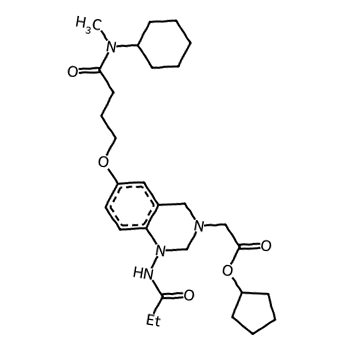 CCC(=O)NN1CN(CC(=O)OC2CCCC2)Cc2cc(OCCCC(=O)N(C)C3CCCCC3)ccc21